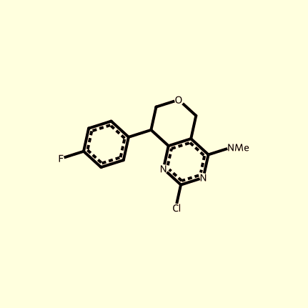 CNc1nc(Cl)nc2c1COCC2c1ccc(F)cc1